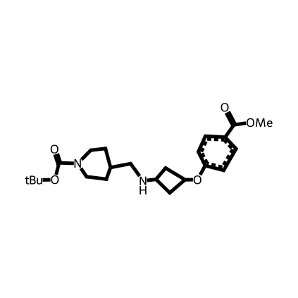 COC(=O)c1ccc(OC2CC(NCC3CCN(C(=O)OC(C)(C)C)CC3)C2)cc1